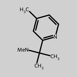 CNC(C)(C)c1cc(C)ccn1